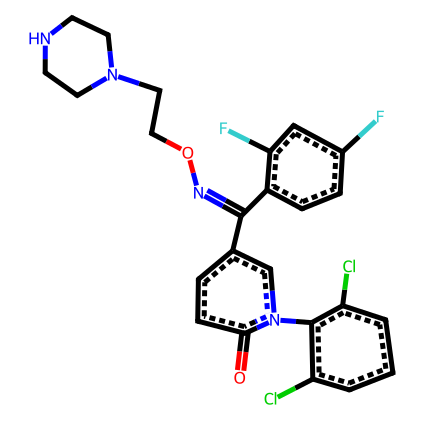 O=c1ccc(C(=NOCCN2CCNCC2)c2ccc(F)cc2F)cn1-c1c(Cl)cccc1Cl